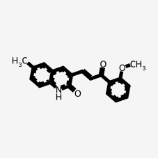 COc1ccccc1C(=O)C=Cc1cc2cc(C)ccc2[nH]c1=O